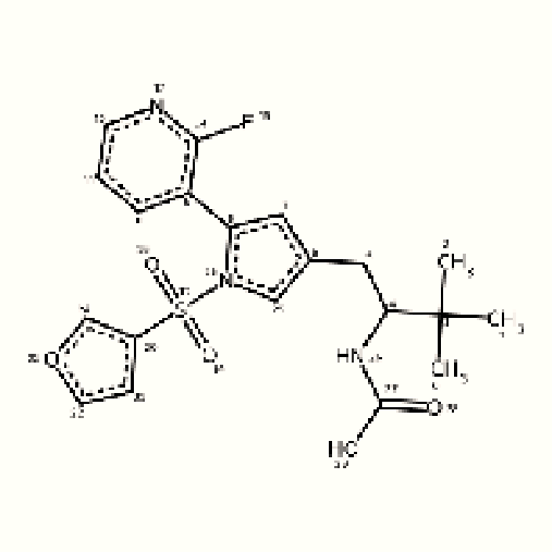 CC(C)(C)C(Cc1cc(-c2cccnc2F)n(S(=O)(=O)c2ccoc2)c1)NC(=O)O